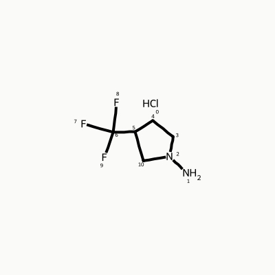 Cl.NN1CCC(C(F)(F)F)C1